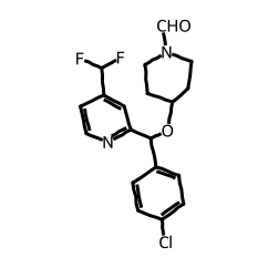 O=CN1CCC(OC(c2ccc(Cl)cc2)c2cc(C(F)F)ccn2)CC1